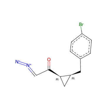 [N-]=[N+]=CC(=O)[C@@H]1C[C@@H]1Cc1ccc(Br)cc1